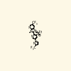 CCS(=O)(=O)c1cc(-n2ccc(C(F)(F)F)n2)cnc1-c1nc2cc(C(F)(F)F)cnc2n1C